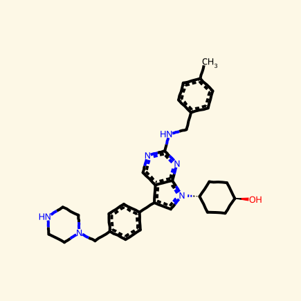 Cc1ccc(CNc2ncc3c(-c4ccc(CN5CCNCC5)cc4)cn([C@H]4CC[C@H](O)CC4)c3n2)cc1